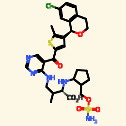 Cc1sc(C(=O)c2cncnc2NCC(C)[C@H](NC2CCCC2COS(N)(=O)=O)C(=O)O)cc1[C@@H]1OCCc2ccc(Cl)cc21